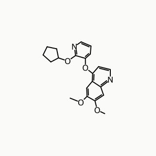 COc1cc2nccc(Oc3cccnc3OC3CCCC3)c2cc1OC